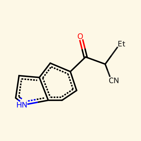 CCC(C#N)C(=O)c1ccc2[nH]ccc2c1